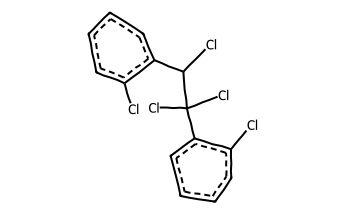 Clc1ccccc1C(Cl)C(Cl)(Cl)c1ccccc1Cl